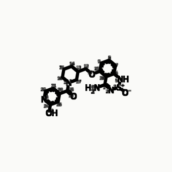 NC1=N[S+]([O-])Nc2cccc(OCC3CCCN(C(=O)c4ccnc(O)c4)C3)c21